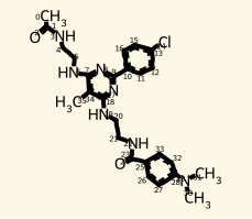 CC(=O)NCCNc1nc(-c2ccc(Cl)cc2)nc(NCCNC(=O)c2ccc(N(C)C)cc2)c1C